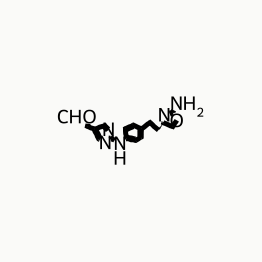 NC1=N[C@@H](CCc2ccc(Nc3ncc(CC=O)cn3)cc2)CO1